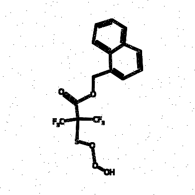 O=C(OCc1cccc2ccccc12)C(SOOO)(C(F)(F)F)C(F)(F)F